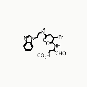 CC(C)C(CC(=O)N(C)CCn1cnc2ccccc21)C(=O)NC(C=O)CC(=O)O